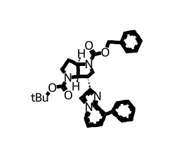 CC(C)(C)OC(=O)N1CC[C@@H]2[C@H]1[C@@H](c1cn3cccc(-c4ccccc4)c3n1)CN2C(=O)OCc1ccccc1